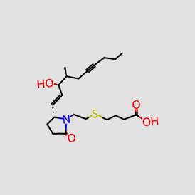 CCCC#CC[C@H](C)[C@H](O)C=C[C@H]1CCC(=O)N1CCSCCCC(=O)O